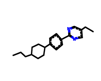 CCCC1CCC(c2ccc(-c3ncc(CC)cn3)cc2)CC1